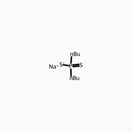 CCCCP(=S)([S-])CCCC.[Na+]